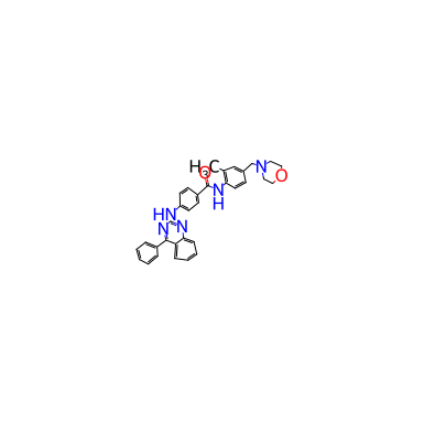 Cc1cc(CN2CCOCC2)ccc1NC(=O)c1ccc(Nc2nc(-c3ccccc3)c3ccccc3n2)cc1